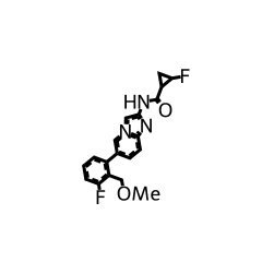 COCc1c(F)cccc1-c1ccc2nc(NC(=O)C3CC3F)cn2c1